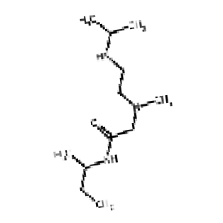 CCC(C)NC(=O)CN(C)CCNC(C)C